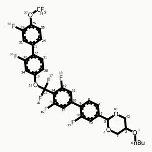 CCCCOC1COC(c2ccc(-c3cc(F)c(C(F)(F)Oc4ccc(-c5ccc(OC(F)(F)F)c(F)c5)c(F)c4)c(F)c3)c(F)c2)OC1